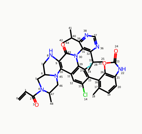 C=CC(=O)N1CC2CNc3c(c4cc(Cl)c(-c5c(C)ccc6[nH]c(=O)oc56)c(F)c4n(-c4c(C(C)C)ncnc4C(C)C)c3=O)N2CC1C